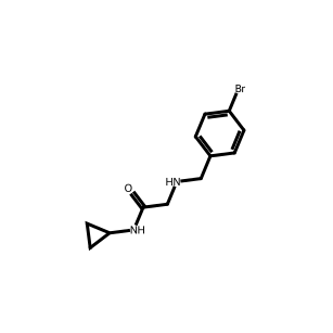 O=C(CNCc1ccc(Br)cc1)NC1CC1